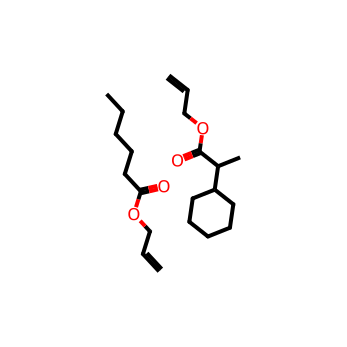 C=CCOC(=O)C(C)C1CCCCC1.C=CCOC(=O)CCCCC